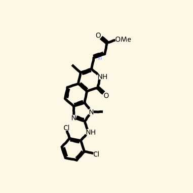 COC(=O)/C=C/c1[nH]c(=O)c2c(ccc3nc(Nc4c(Cl)cccc4Cl)n(C)c32)c1C